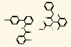 COC(=O)[C@@H](C)N(C(=O)Cc1ccccc1)c1c(C)cccc1C.O=C(Nc1ccccc1-c1ccc(Cl)cc1)c1cccnc1Cl